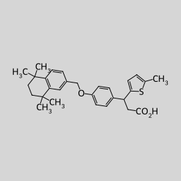 Cc1ccc(C(CC(=O)O)c2ccc(OCc3ccc4c(c3)C(C)(C)CCC4(C)C)cc2)s1